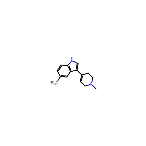 CN1CC=C(c2c[nH]c3ccc(C(=O)O)cc23)CC1